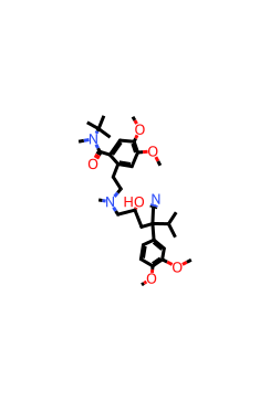 COc1ccc(C(C#N)(CC(O)CN(C)CCc2cc(OC)c(OC)cc2C(=O)N(C)C(C)(C)C)C(C)C)cc1OC